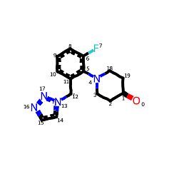 O=C1CCN(c2c(F)cccc2[CH]n2ccnn2)CC1